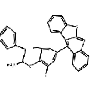 O=C(O)[C@@H](Cc1ccccc1)Oc1c(I)cc(-c2c3ccccc3cc3sc4ccccc4c23)cc1I